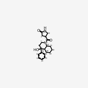 O=C1CC(C(=O)N2CCC(O)(c3ccccc3)C3CCCCC32)CN1